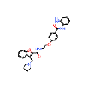 Nc1ccccc1NC(=O)c1ccc(OCCNC(=O)c2oc3ccccc3c2CN2CCCC2)cc1